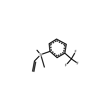 C=C[Si](C)(C)c1cccc(C(F)(F)F)c1